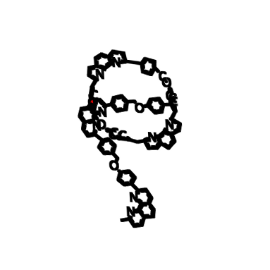 Cc1ccc2ccc3ccc(-c4ccc(OCc5ccc(-c6ccc7ccc8ccc(-c9ccc(COc%10ccc(-c%11cc%12ccc%11-c%11ccc%13ccc%14ccc(nc%14c%13n%11)Cc%11ccc(cc%11)OCc%11ccc(cc%11)-c%11ccc%13ccc%14ccc(nc%14c%13n%11)-c%11ccc(cc%11)CO%12)cc%10)cc9)nc8c7n6)cc5)cc4)nc3c2n1